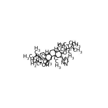 C=C(O)[C@@H]1[C@@](C)([C@H](C)C(C)C)CC[C@]2(C)[C@H]3CC[C@H]4C(C)(CC)[C@@H](OCC(C)(C(C)C)N(C)C)[C@H](n5ncnn5)C[C@]4(CC)C3=CC(=O)[C@@]12C